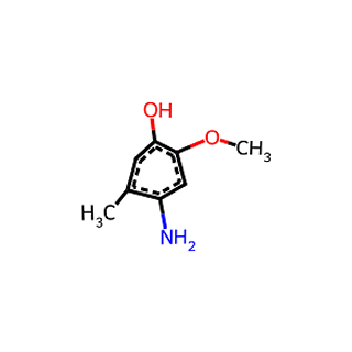 COc1cc(N)c(C)cc1O